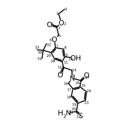 CCOC(=O)COc1cc(O)c(C(=O)CN2Cc3cc(C(N)=S)ccc3C2=O)cc1C(C)(C)C